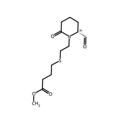 COC(=O)CCCSCCN1C(=O)CCC[C@@H]1C=O